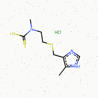 Cc1[nH]cnc1CSCCN(C)C(=S)S.Cl